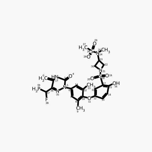 C=C1NC(=O)N(c2cc(C)c(Oc3ccc(O)c(S(=O)(=O)N4CC(N(C)S(C)(=O)=O)C4)c3)c(C)c2)N=C1C(F)P